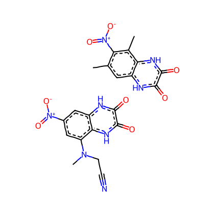 CN(CC#N)c1cc([N+](=O)[O-])cc2[nH]c(=O)c(=O)[nH]c12.Cc1cc2[nH]c(=O)c(=O)[nH]c2c(C)c1[N+](=O)[O-]